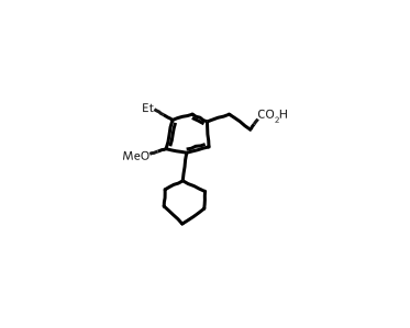 CCc1cc(CCC(=O)O)cc(C2CCCCC2)c1OC